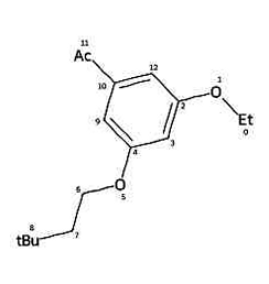 CCOc1cc(OCCC(C)(C)C)cc(C(C)=O)c1